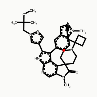 COC(C)(C)Cn1cc(-c2[nH]c3ncc4c(c3c2-c2ccc3c(cnn3C)c2)C2(CCN(C3(CC#N)CCC3)CC2)C(=O)N4C)cn1